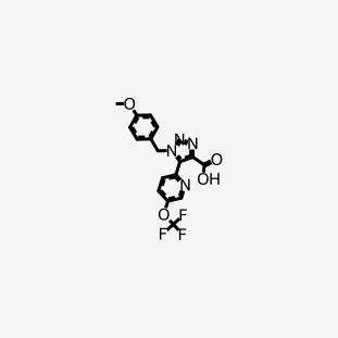 COc1ccc(Cn2nnc(C(=O)O)c2-c2ccc(OC(F)(F)F)cn2)cc1